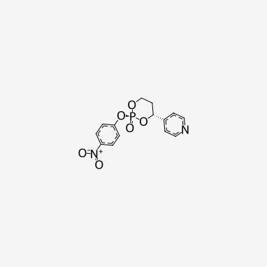 O=[N+]([O-])c1ccc(O[P@@]2(=O)OCC[C@H](c3ccncc3)O2)cc1